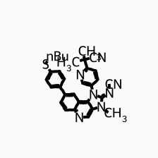 CCCCSc1ccc(-c2ccc3ncc4c(c3c2)n(-c2ccc(C(C)(C)C#N)nc2)/c(=N\C#N)n4C)cc1